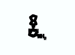 Nc1ccnc(N2CC3CCCC3C2)n1